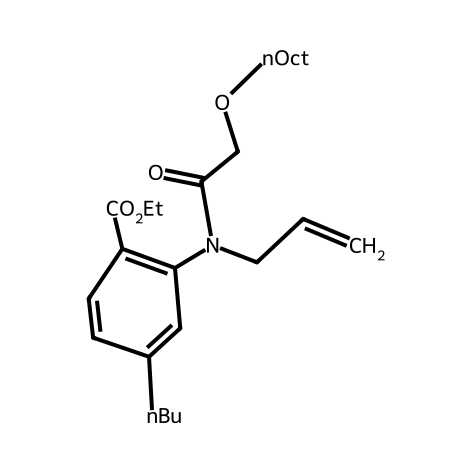 C=CCN(C(=O)COCCCCCCCC)c1cc(CCCC)ccc1C(=O)OCC